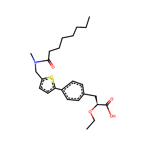 CCCCCCCC(=O)N(C)Cc1ccc(-c2ccc(C[C@H](OCC)C(=O)O)cc2)s1